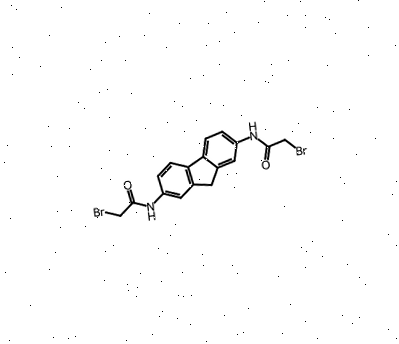 O=C(CBr)Nc1ccc2c(c1)Cc1cc(NC(=O)CBr)ccc1-2